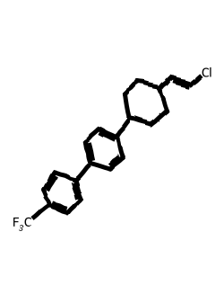 FC(F)(F)c1ccc(-c2ccc(C3CCC(/C=C/Cl)CC3)cc2)cc1